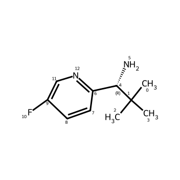 CC(C)(C)[C@@H](N)c1ccc(F)cn1